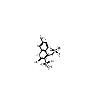 Nc1ccc2c(CS(=O)(=O)O)c(S(=O)(=O)O)c(=O)oc2c1